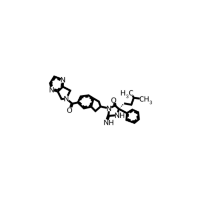 CC(C)CC[C@]1(c2ccccc2)NC(=N)N(C2Cc3ccc(C(=O)N4Cc5nccnc5C4)cc3C2)C1=O